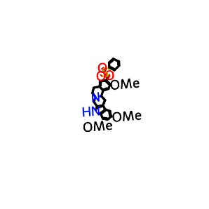 COc1cc2[nH]c3c(c2cc1OC)CC1c2cc(OC)c(OS(=O)(=O)c4ccccc4)cc2CCN1C3